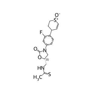 CC(=S)NC[C@H]1CN(c2ccc(C3C=C[S+]([O-])CC3)c(F)c2)C(=O)O1